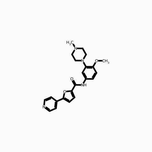 COc1ccc(NC(=O)c2ccc(-c3ccncc3)o2)cc1N1CCN(C)CC1